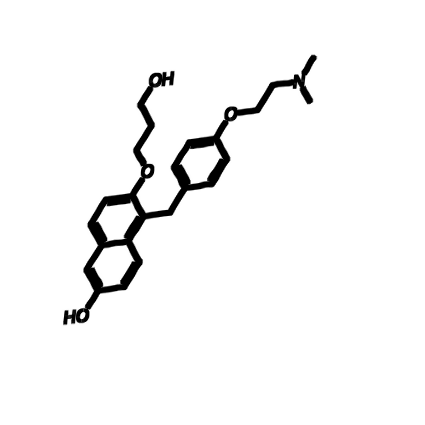 CN(C)CCOc1ccc(Cc2c(OCCCO)ccc3cc(O)ccc23)cc1